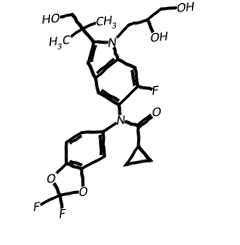 CC(C)(CO)c1cc2cc(N(C(=O)C3CC3)c3ccc4c(c3)OC(F)(F)O4)c(F)cc2n1CC(O)CO